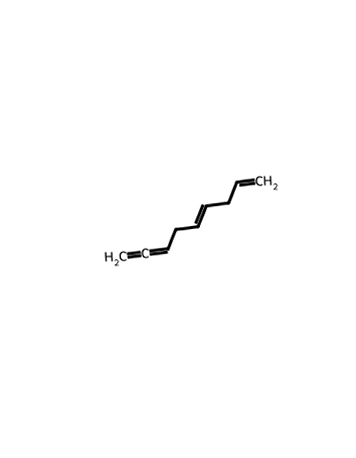 C=C=CCC=CCC=C